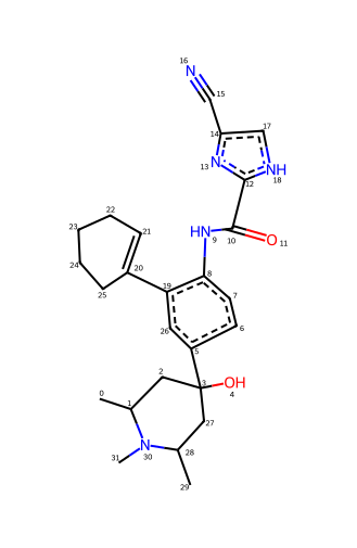 CC1CC(O)(c2ccc(NC(=O)c3nc(C#N)c[nH]3)c(C3=CCCCC3)c2)CC(C)N1C